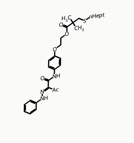 CCCCCCCSCC(C)(C)C(=O)OCCOc1ccc(NC(=O)/C(=N/Nc2ccccc2)C(C)=O)cc1